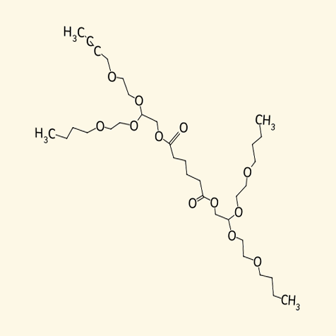 CCCCOCCOC(COC(=O)CCCCC(=O)OCC(OCCOCCCC)OCCOCCCC)OCCOCCCC